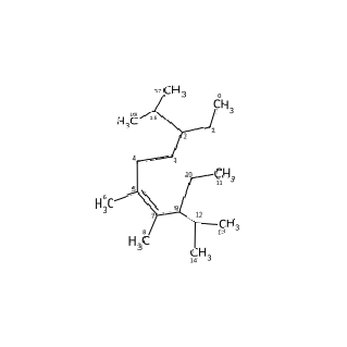 CCC(CCC(C)=C(C)C(CC)C(C)C)C(C)C